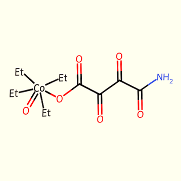 C[CH2][Co](=[O])([CH2]C)([CH2]C)([CH2]C)[O]C(=O)C(=O)C(=O)C(N)=O